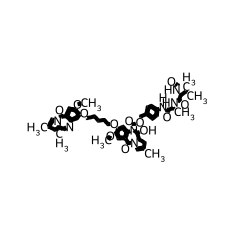 COc1cc2c(cc1OCCCCCOc1cc3c(cc1OC)C(=O)N1C=C(C)CC1C(O)N3C(=O)OCc1ccc(NC(=O)C(C)NC(=O)[C@@H](NC=O)C(C)C)cc1)N=CC1(C)CC(C)=CN1C2=O